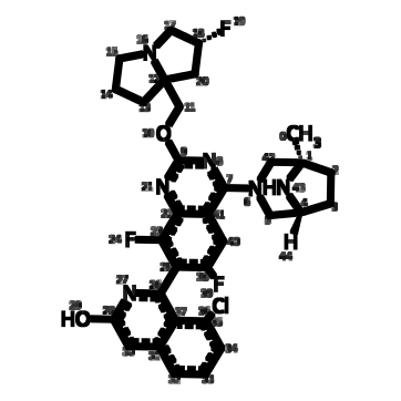 C[C@@]12CC[C@H](CN(c3nc(OCC45CCCN4C[C@H](F)C5)nc4c(F)c(-c5nc(O)cc6cccc(Cl)c56)c(F)cc34)C1)N2